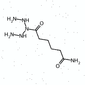 NNN(NN)C(=O)CCCCC(N)=O